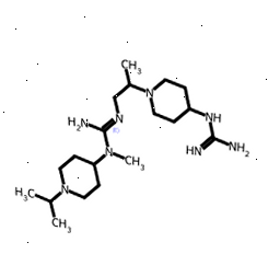 CC(C)N1CCC(N(C)/C(N)=N/CC(C)N2CCC(NC(=N)N)CC2)CC1